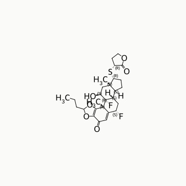 CCCC1OC2=C(O1)[C@@]1(C)C(=CC2=O)[C@@H](F)C[C@H]2[C@@H]3CC[C@@H](S[C@@H]4CCOC4=O)[C@@]3(C)C[C@H](O)[C@@]21F